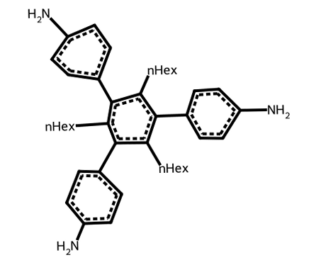 CCCCCCc1c(-c2ccc(N)cc2)c(CCCCCC)c(-c2ccc(N)cc2)c(CCCCCC)c1-c1ccc(N)cc1